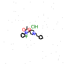 CC1OC2(CCN(CCc3ccccc3)CC2)CN(c2ccccc2F)C1=O.Cl